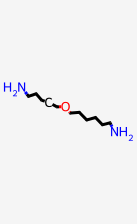 NCCCCCCOCCCCCN